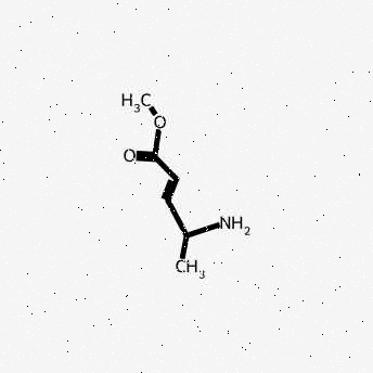 COC(=O)/C=C/C(C)N